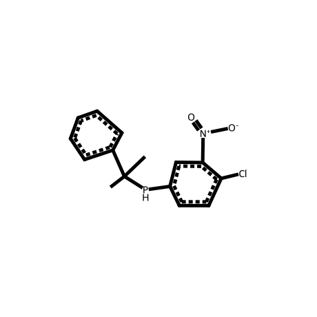 CC(C)(Pc1ccc(Cl)c([N+](=O)[O-])c1)c1ccccc1